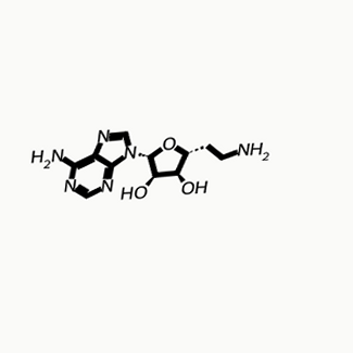 NCC[C@H]1O[C@@H](n2cnc3c(N)ncnc32)[C@H](O)[C@@H]1O